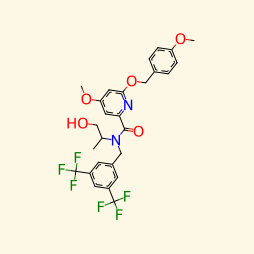 COc1ccc(COc2cc(OC)cc(C(=O)N(Cc3cc(C(F)(F)F)cc(C(F)(F)F)c3)C(C)CO)n2)cc1